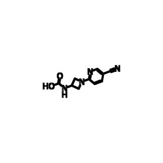 N#Cc1ccc(N2CC(NC(=O)O)C2)nc1